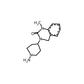 CN1C(=O)N(C2CCN(N)CC2)Cc2ccccc21